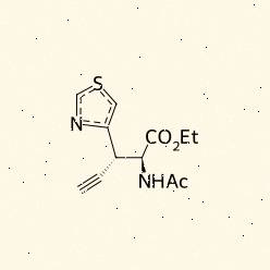 C#C[C@H](c1cscn1)[C@H](NC(C)=O)C(=O)OCC